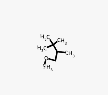 CC(CO[SiH3])C(C)(C)C